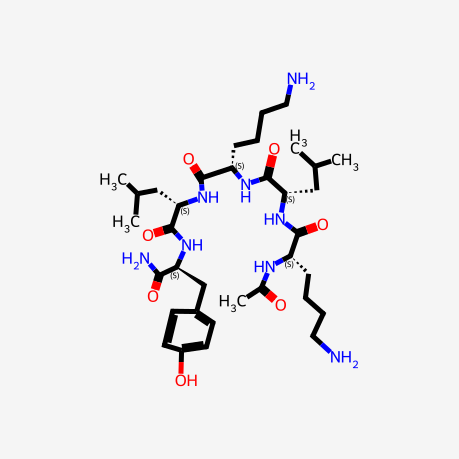 CC(=O)N[C@@H](CCCCN)C(=O)N[C@@H](CC(C)C)C(=O)N[C@@H](CCCCN)C(=O)N[C@@H](CC(C)C)C(=O)N[C@@H](Cc1ccc(O)cc1)C(N)=O